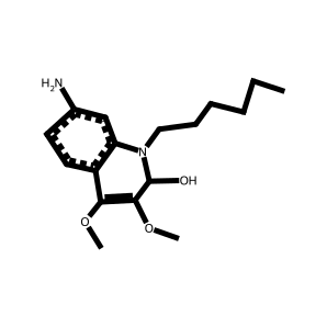 CCCCCCN1c2cc(N)ccc2C(OC)=C(OC)C1O